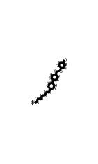 Cc1ccc(CCC2CCC(C3CCC(CCCC=CCCF)CC3)CC2)cc1